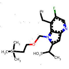 CC(C)Cc1c(F)cnc2cc(C(C)S(=O)(=O)O)n(COCC[Si](C)(C)C)c12